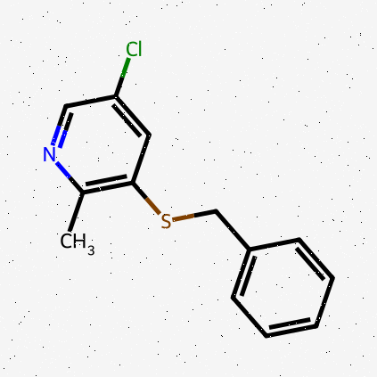 Cc1ncc(Cl)cc1SCc1ccccc1